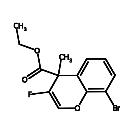 CCOC(=O)C1(C)C(F)=COc2c(Br)cccc21